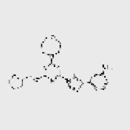 Cc1cccc(-c2ccn(-c3cc(N4CCCOCC4)nc(OCC4CCCO4)n3)n2)c1